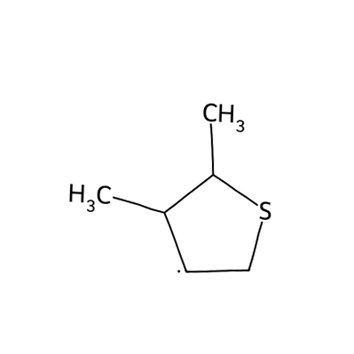 CC1[CH]CSC1C